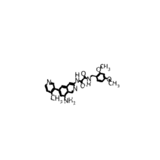 COc1ccc(CNC(=O)C(=O)Nc2cc3cc(-c4cnccc4C)cc(N)c3cn2)c(OC)c1